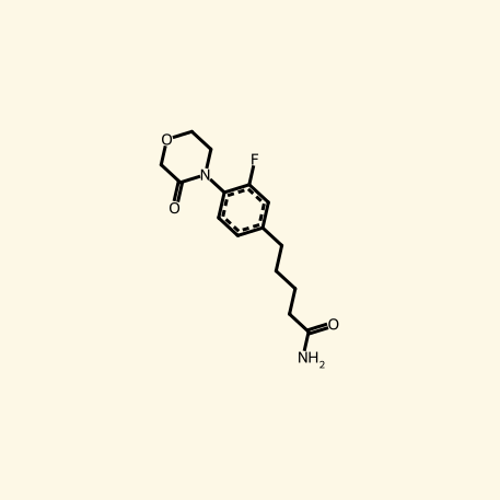 NC(=O)CCCCc1ccc(N2CCOCC2=O)c(F)c1